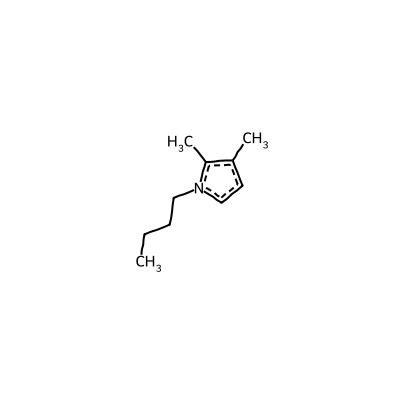 CCCCn1ccc(C)c1C